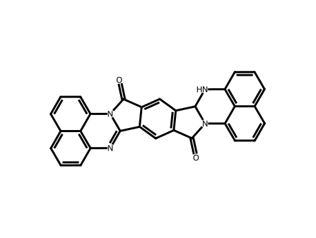 O=C1c2cc3c(cc2C2=Nc4cccc5cccc(c45)N12)C(=O)N1c2cccc4cccc(c24)NC31